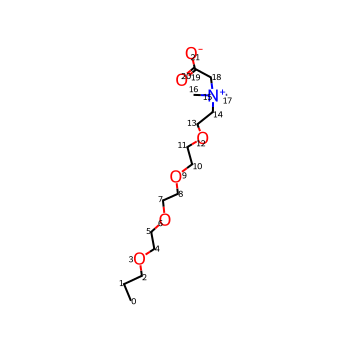 CCCOCCOCCOCCOCC[N+](C)(C)CC(=O)[O-]